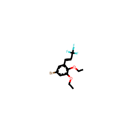 CCOc1cc(Br)cc(C=CC(F)(F)F)c1OCC